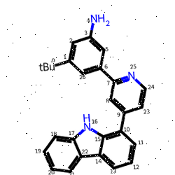 CC(C)(C)c1cc(N)cc(-c2cc(-c3cccc4c3[nH]c3ccccc34)ccn2)c1